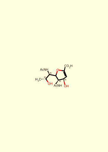 CC(=O)N[C@H]1C([C@H](NC(C)=O)[C@@H](C)O)OC(C(=O)O)=C[C@H]1O